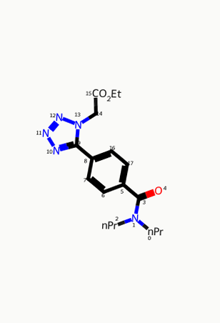 CCCN(CCC)C(=O)c1ccc(-c2nnnn2CC(=O)OCC)cc1